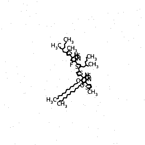 CCCCCCCCCCCCOc1c(OCCCCCCCCCCCC)c(-c2ccc(-c3sc(-c4c(F)cc(-c5cc(CC(CC)CCCC)c(C)s5)c5nsnc45)cc3CC(CC)CCCC)s2)c2nsnc2c1-c1ccc(C)s1